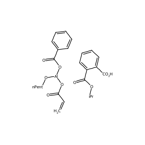 C=CC(=O)[O][Al]([O]CCCCC)[O]C(=O)c1ccccc1.CC(C)OC(=O)c1ccccc1C(=O)O